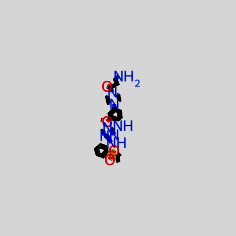 COc1cc(N2CCN(C(=O)CCN)CC2)ccc1Nc1ncnc(Nc2ccccc2S(=O)(=O)C(C)C)n1